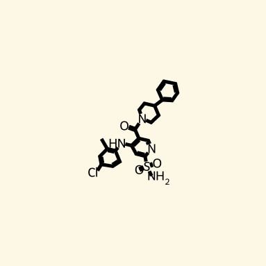 Cc1cc(Cl)ccc1Nc1cc(S(N)(=O)=O)ncc1C(=O)N1CCC(c2ccccc2)CC1